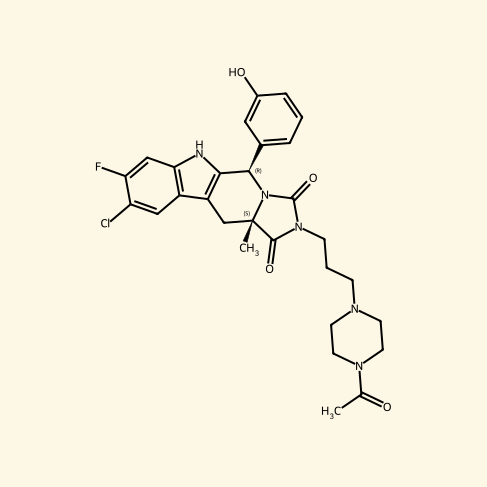 CC(=O)N1CCN(CCCN2C(=O)N3[C@H](c4cccc(O)c4)c4[nH]c5cc(F)c(Cl)cc5c4C[C@@]3(C)C2=O)CC1